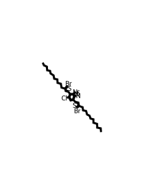 CCCCCCCCCCCCc1cc(-c2cc(Cl)c(-c3cc(CCCCCCCCCCCC)c(Br)s3)c3nsnc23)sc1Br